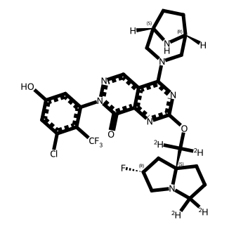 [2H]C1([2H])CC[C@@]2(C([2H])([2H])Oc3nc(N4C[C@H]5CC[C@@H](C4)N5)c4cnn(-c5cc(O)cc(Cl)c5C(F)(F)F)c(=O)c4n3)C[C@@H](F)CN12